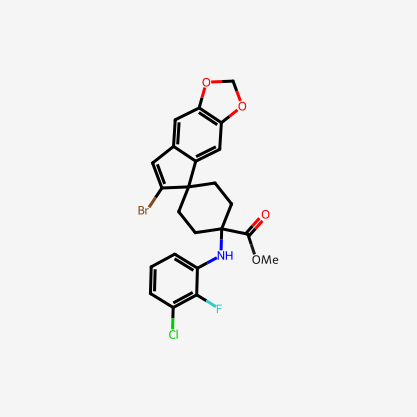 COC(=O)C1(Nc2cccc(Cl)c2F)CCC2(CC1)C(Br)=Cc1cc3c(cc12)OCO3